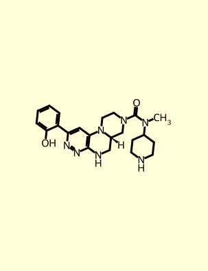 CN(C(=O)N1CCN2c3cc(-c4ccccc4O)nnc3NC[C@H]2C1)C1CCNCC1